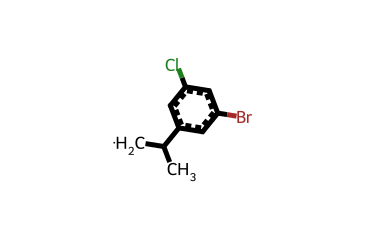 [CH2]C(C)c1cc(Cl)cc(Br)c1